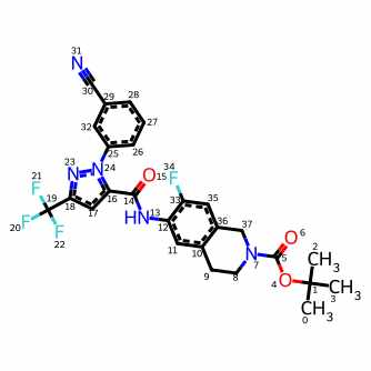 CC(C)(C)OC(=O)N1CCc2cc(NC(=O)c3cc(C(F)(F)F)nn3-c3cccc(C#N)c3)c(F)cc2C1